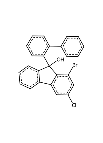 OC1(c2ccccc2-c2ccccc2)c2ccccc2-c2cc(Cl)cc(Br)c21